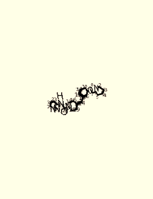 CN1CCCCC1COc1cccc(C=C2CCN(C(=O)Nc3cccnn3)CC2)c1